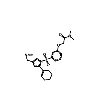 CNCc1cc(C2=CCCCC2)n(S(=O)(=O)c2cccc(OCC(=O)N(C)C)c2)c1